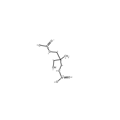 [CH2]C(CO)(CO[N+](=O)[O-])CO[N+](=O)[O-]